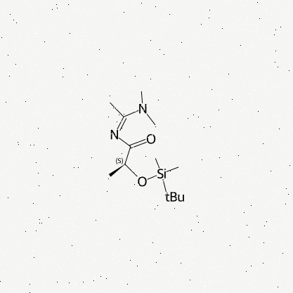 CC(=NC(=O)[C@H](C)O[Si](C)(C)C(C)(C)C)N(C)C